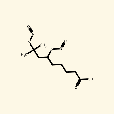 CC(C)(CC(CCCCC(=O)O)SN=O)SN=O